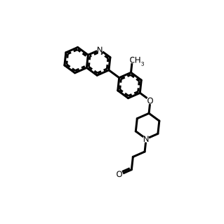 Cc1cc(OC2CCN(CCC=O)CC2)ccc1-c1cnc2ccccc2c1